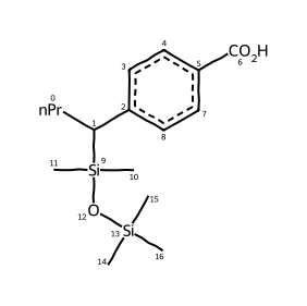 CCCC(c1ccc(C(=O)O)cc1)[Si](C)(C)O[Si](C)(C)C